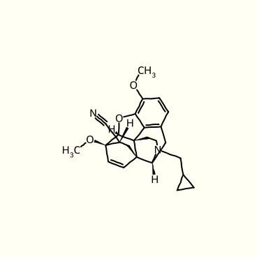 COc1ccc2c3c1O[C@H]1[C@@]4(OC)C=C[C@@]5(C[C@H]4C#N)[C@@H](C2)N(CC2CC2)CC[C@]315